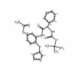 CC(C)(C)OC(=O)NC(C(=O)Nc1cc(OC(N)=O)ccc1Cc1cncs1)c1ccccc1